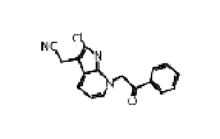 N#CCc1c2cccn(CC(=O)c3ccccc3)c-2nc1Cl